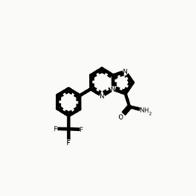 NC(=O)c1cnc2ccc(-c3cccc(C(F)(F)F)c3)nn12